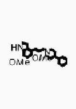 COc1cc2[nH]ccc2c(C=CCN2CC=C(c3ccccc3)CC2)c1OC